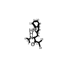 CC(C)NC(Cc1cc2ccccc2[nH]1)C(=O)C(C)C